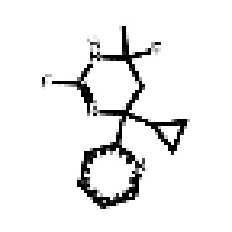 CC1(F)CC(c2ccccn2)(C2CC2)N=C(F)N1